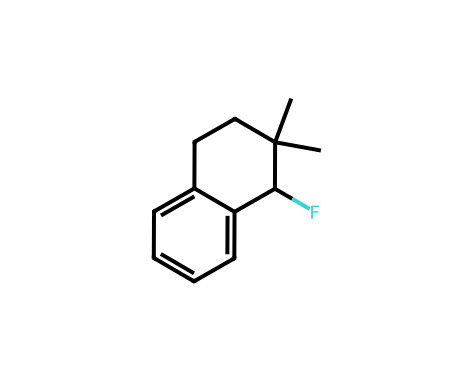 CC1(C)CCc2ccccc2C1F